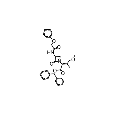 COC/C(C)=C(/C(=O)OC(c1ccccc1)c1ccccc1)N1CC(NC(=O)COc2ccccc2)C1=O